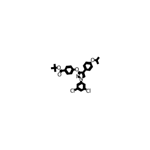 CC(C)Oc1ccc(-c2cn(-c3cc(Cl)cc(Cl)c3)nc2Oc2ccc(C(=O)OC(C)(C)C)cc2)cc1